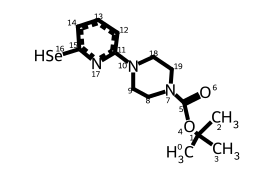 CC(C)(C)OC(=O)N1CCN(c2cccc([SeH])n2)CC1